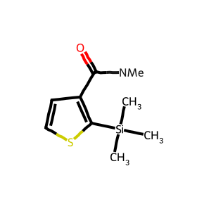 CNC(=O)c1ccsc1[Si](C)(C)C